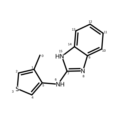 Cc1cscc1Nc1nc2ccccc2[nH]1